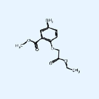 Bc1ccc(OCC(=O)OCC)c(C(=O)OC)c1